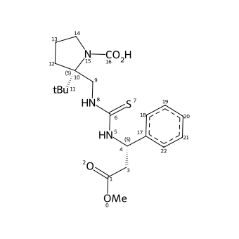 COC(=O)C[C@H](NC(=S)NC[C@@]1(C(C)(C)C)CCCN1C(=O)O)c1ccccc1